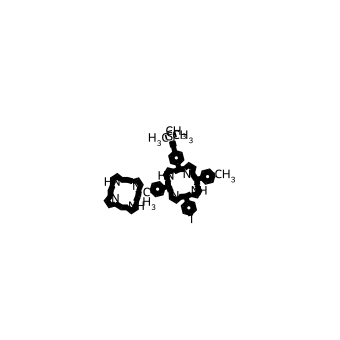 C1=Cc2cc3ccc(cc4nc(cc5ccc(cc1n2)[nH]5)C=C4)[nH]3.Cc1ccc(-c2c3nc(c(-c4ccc(C#C[Si](C)(C)C)cc4)c4ccc([nH]4)c(-c4ccc(C)cc4)c4nc(c(-c5ccc(I)cc5)c5ccc2[nH]5)C=C4)C=C3)cc1